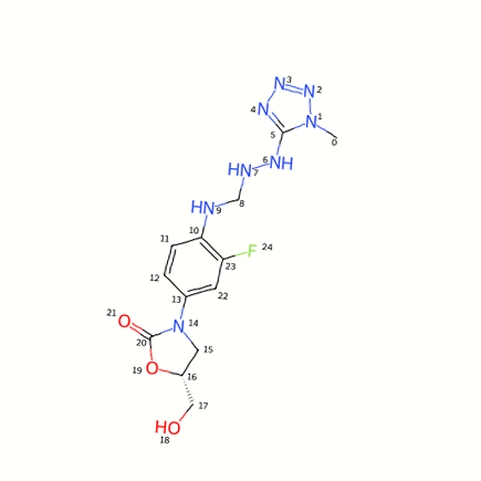 Cn1nnnc1NNCNc1ccc(N2C[C@H](CO)OC2=O)cc1F